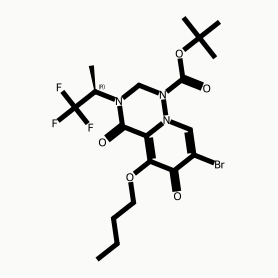 CCCCOc1c2n(cc(Br)c1=O)N(C(=O)OC(C)(C)C)CN([C@H](C)C(F)(F)F)C2=O